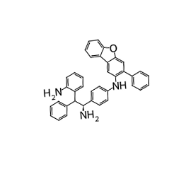 Nc1ccccc1C(c1ccccc1)[C@H](N)c1ccc(Nc2cc3c(cc2-c2ccccc2)oc2ccccc23)cc1